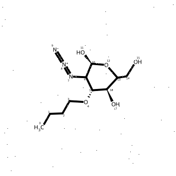 CCCCO[C@@H]1C(N=[N+]=[N-])[C@@H](O)OC(CO)[C@H]1O